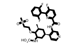 C[C@H]1C[C@@H](c2ccncc2NC(=O)c2ccc(F)c(-c3c(F)cccc3F)n2)CC(NC(=O)O)C1OCCS(C)(=O)=O